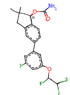 CC1(C)Cc2cc(-c3cc(F)cc(OC(F)C(F)F)c3)ccc2[C@@H]1OC(N)=O